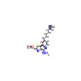 CCOCc1nc2c(N)nc3ccc(CCCCCN(C)C(C)(C)C)cc3c2s1